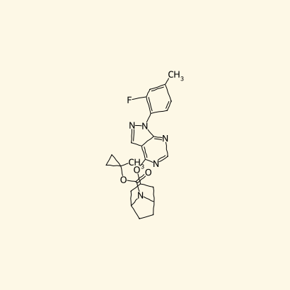 Cc1ccc(-n2ncc3c(OC4CC5CCC(C4)N5C(=O)OC4(C)CC4)ncnc32)c(F)c1